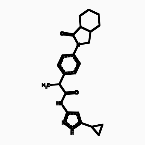 CC(C(=O)Nc1cc(C2CC2)[nH]n1)c1ccc(N2CC3CCCCC3C2=O)cc1